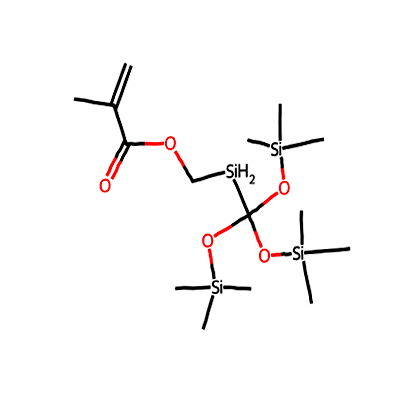 C=C(C)C(=O)OC[SiH2]C(O[Si](C)(C)C)(O[Si](C)(C)C)O[Si](C)(C)C